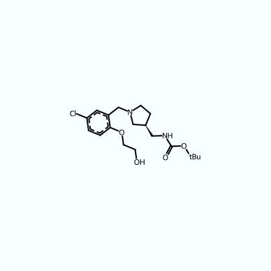 CC(C)(C)OC(=O)NC[C@@H]1CCN(Cc2cc(Cl)ccc2OCCO)C1